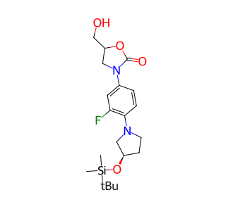 CC(C)(C)[Si](C)(C)O[C@@H]1CCN(c2ccc(N3CC(CO)OC3=O)cc2F)C1